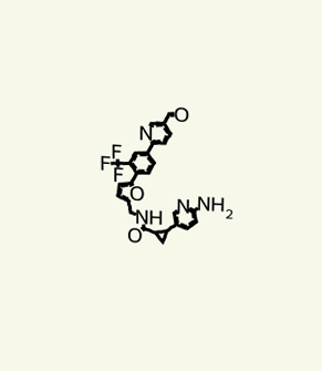 Nc1ccc(C2CC2C(=O)NCc2ccc(-c3ccc(-c4ccc(C=O)cn4)cc3C(F)(F)F)o2)cn1